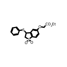 CCOC(=O)COc1ccc2c(c1)C(Sc1ccccc1)CS2(=O)=O